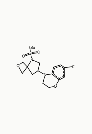 CC(C)(C)S(=O)(=O)N1CC(N2CCOc3cc(Cl)ccc32)CC12COC2